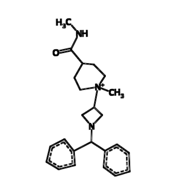 CNC(=O)C1CC[N+](C)(C2CN(C(c3ccccc3)c3ccccc3)C2)CC1